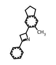 Cc1cc2c(cc1C1CC(c3ccccc3)=N1)CCC2